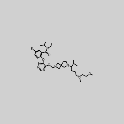 CCN(C(=O)c1cc(F)ccc1Oc1nncnc1OCN1CC2(CCN(C(CCCN(C)CCOC)C(C)C)C2)C1)C(C)C